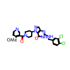 COc1ccncc1C(=O)N1CCC(n2ncc3nc(NCc4ccc(Cl)c(Cl)c4)[nH]c(=O)c32)CC1